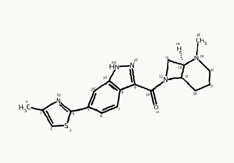 Cc1csc(-c2ccc3c(C(=O)N4C[C@@H]5C4CCCN5C)n[nH]c3c2)n1